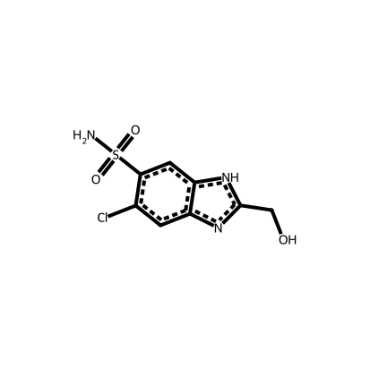 NS(=O)(=O)c1cc2[nH]c(CO)nc2cc1Cl